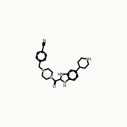 N#Cc1ccc(CN2CCN(C(=O)C3Nc4ccc(C5CCNCC5)cc4N3)CC2)cc1